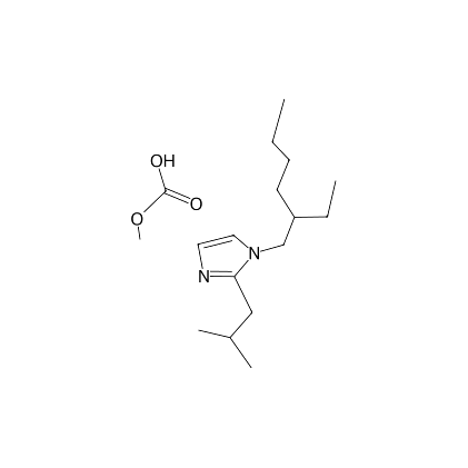 CCCCC(CC)Cn1ccnc1CC(C)C.COC(=O)O